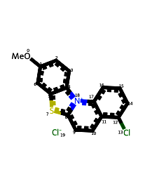 COc1ccc2c(c1)sc1ccc3c(Cl)cccc3[n+]12.[Cl-]